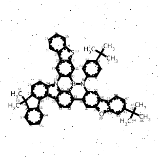 CC(C)(C)c1ccc(N2B3c4cc5sc6ccccc6c5cc4-n4c5ccc6c(c5c5ccc(c3c54)-c3cc4oc5cc(C(C)(C)C)ccc5c4cc32)-c2ccccc2C6(C)C)cc1